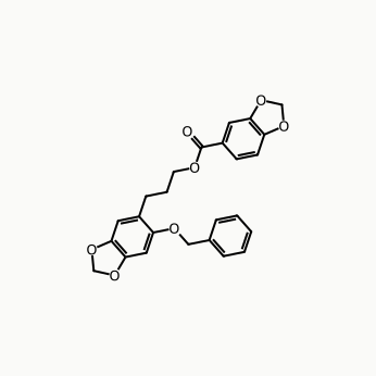 O=C(OCCCc1cc2c(cc1OCc1ccccc1)OCO2)c1ccc2c(c1)OCO2